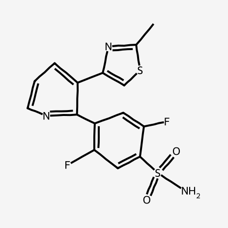 Cc1nc(-c2cccnc2-c2cc(F)c(S(N)(=O)=O)cc2F)cs1